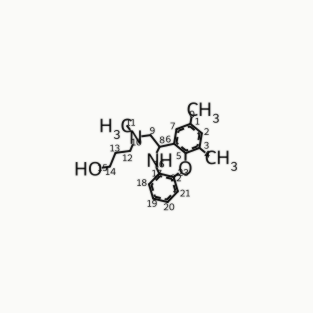 Cc1cc(C)c2c(c1)C(CN(C)CCCO)Nc1ccccc1O2